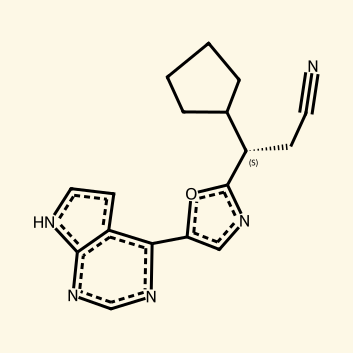 N#CC[C@H](c1ncc(-c2ncnc3[nH]ccc23)o1)C1CCCC1